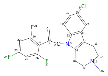 C=C(Cn1c2c(c3cc(Cl)ccc31)CCN(C)CC2)c1c(F)cc(F)cc1F